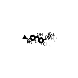 Cc1ccc(C(O)c2ccc3c(nnn3C3CC3)c2C)cc1CO[Si](C)(C)C(C)(C)C